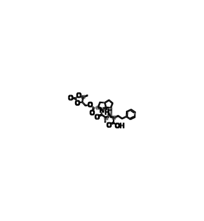 C[C@H](N[C@@H](CCc1ccccc1)C(=O)O)C(=O)N1[C@H](C(=O)OCC2OC(=O)O[C@H]2C)CC2CCC[C@@H]21